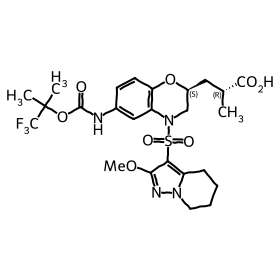 COc1nn2c(c1S(=O)(=O)N1C[C@H](C[C@@H](C)C(=O)O)Oc3ccc(NC(=O)OC(C)(C)C(F)(F)F)cc31)CCCC2